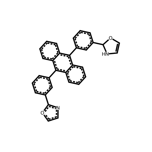 C1=COC(c2cccc(-c3c4ccccc4c(-c4cccc(-c5ncco5)c4)c4ccccc34)c2)N1